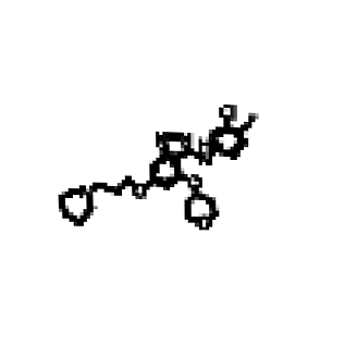 Fc1ccc(Nc2ncnc3cc(OCCCN4CCCCC4)cc(OC4CCOCC4)c23)cc1Cl